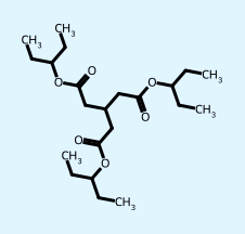 CCC(CC)OC(=O)CC(CC(=O)OC(CC)CC)CC(=O)OC(CC)CC